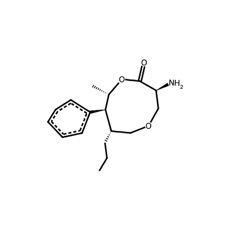 CCC[C@H]1COC[C@H](N)C(=O)O[C@@H](C)[C@@H]1c1ccccc1